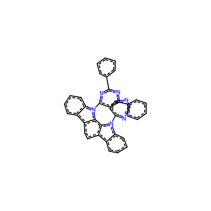 c1ccc(-c2cc(-n3c4ccccc4c4ccc5c6ccccc6n(-c6ccncn6)c5c43)nc(-c3ccccc3)n2)cc1